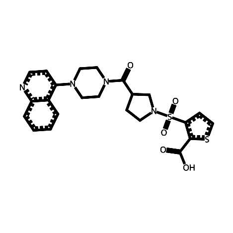 O=C(O)c1sccc1S(=O)(=O)N1CCC(C(=O)N2CCN(c3ccnc4ccccc34)CC2)C1